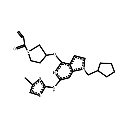 C=CC(=O)N1CCC(Oc2nc(Nc3ncc(C)s3)cc3c2ccn3CC2CCCC2)C1